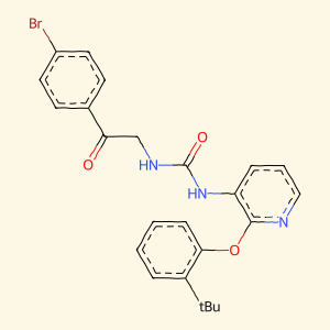 CC(C)(C)c1ccccc1Oc1ncccc1NC(=O)NCC(=O)c1ccc(Br)cc1